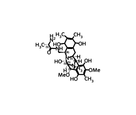 COc1c(C)c(O)c2c(c1O)[C@@H]1[C@@H]3CC4=C(C(O)C(C)=C(C)C4O)[C@H](CNC(=O)[C@H](C)N)N3[C@@H](O)[C@H]([C@H]2OC)N1C